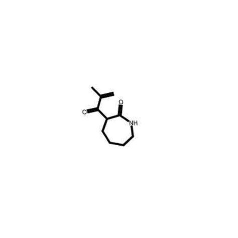 C=C(C)C(=O)C1CCCCNC1=O